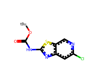 CC(C)(C)OC(=O)Nc1nc2cc(Cl)ncc2s1